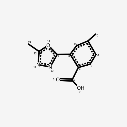 Cc1ccc(C(=O)O)c(-c2nnc(C)o2)c1